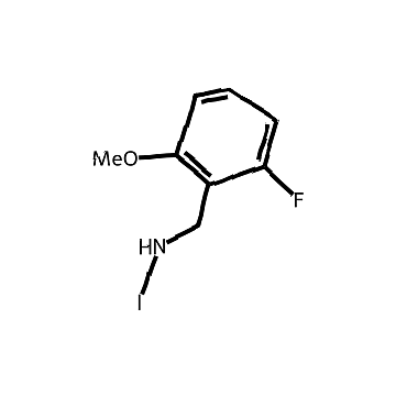 COc1cccc(F)c1CNI